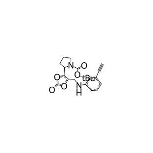 C#Cc1cccc(NCc2oc(=O)oc2C2CCCN2C(=O)OC(C)(C)C)c1